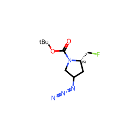 CC(C)(C)OC(=O)N1CC(N=[N+]=[N-])C[C@H]1CF